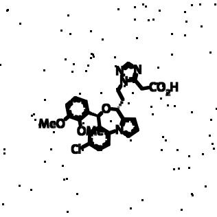 COc1cccc([C@H]2O[C@H](CCn3ncnc3CC(=O)O)c3cccn3-c3ccc(Cl)cc32)c1OC